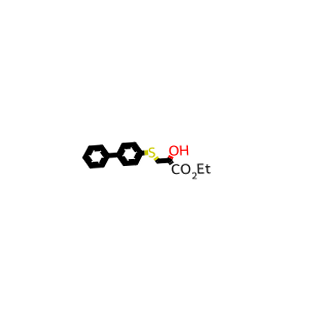 CCOC(=O)C(O)CSc1ccc(-c2ccccc2)cc1